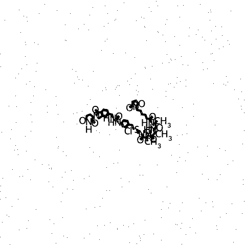 CC(NC(=O)CCCCCN1C(=O)C=CC1=O)C(=O)NC(C)C(=O)NC(C)C(=O)NCSCCc1ccc(NC(=O)NCc2ccc3c(c2)CN(C2CCC(=O)NC2=O)C3=O)cc1Cl